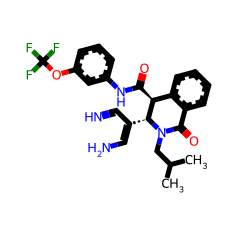 CC(C)CN1C(=O)c2ccccc2[C@H](C(=O)Nc2cccc(OC(F)(F)F)c2)[C@H]1/C(C=N)=C/N